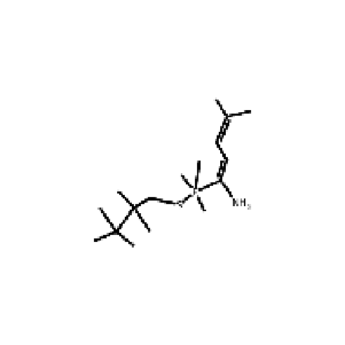 CC(C)=C/C=C(/N)P(C)(C)(C)SCC(C)(C)C(C)(C)C